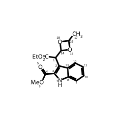 CCOC(=O)C(c1c(C(=O)OC)[nH]c2ccccc12)C1OC(C)O1